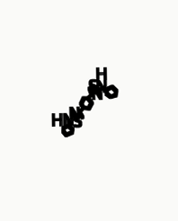 c1ccc(Nc2nc(-c3ccc(-c4csc(Nc5ccccc5)n4)cc3)cs2)cc1